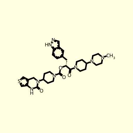 CN1CCN(C2CCN(C(=O)[C@@H](Cc3ccc4[nH]ncc4c3)OC(=O)N3CCC(N4Cc5cscc5NC4=O)CC3)CC2)CC1